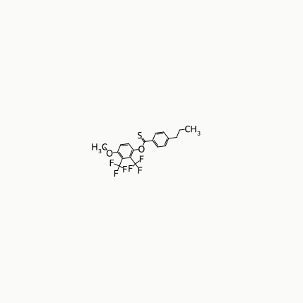 CCCc1ccc(C(=S)Oc2ccc(OC)c(C(F)(F)F)c2C(F)(F)F)cc1